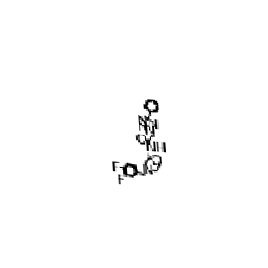 O=C(Cn1nnc(-c2ccccc2)n1)NC[C@H]1CN(Cc2ccc(F)c(F)c2)CCO1